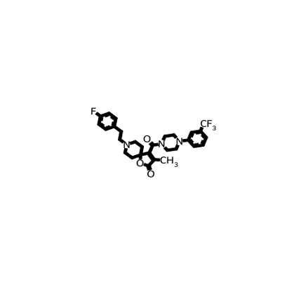 CC1=C(C(=O)N2CCN(c3cccc(C(F)(F)F)c3)CC2)C2(CCN(CCc3ccc(F)cc3)CC2)OC1=O